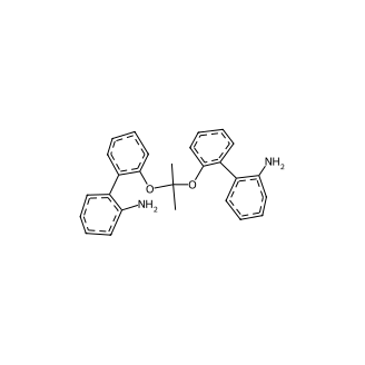 CC(C)(Oc1ccccc1-c1ccccc1N)Oc1ccccc1-c1ccccc1N